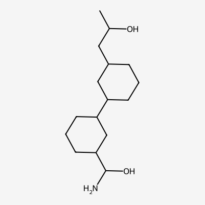 CC(O)CC1CCCC(C2CCCC(C(N)O)C2)C1